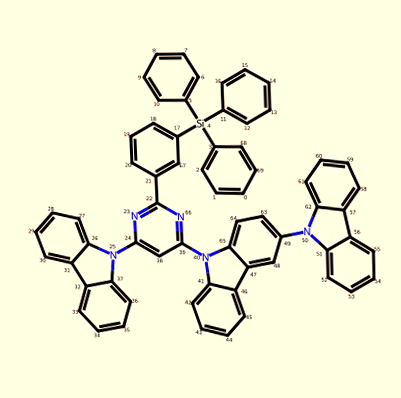 c1ccc([Si](c2ccccc2)(c2ccccc2)c2cccc(-c3nc(-n4c5ccccc5c5ccccc54)cc(-n4c5ccccc5c5cc(-n6c7ccccc7c7ccccc76)ccc54)n3)c2)cc1